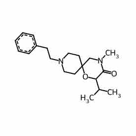 CC(C)C1OC2(CCN(CCc3ccccc3)CC2)CN(C)C1=O